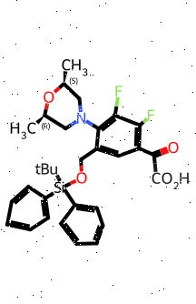 C[C@@H]1CN(c2c(CO[Si](c3ccccc3)(c3ccccc3)C(C)(C)C)cc(C(=O)C(=O)O)c(F)c2F)C[C@H](C)O1